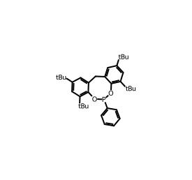 CC(C)(C)c1cc2c(c(C(C)(C)C)c1)OP(c1ccccc1)Oc1c(cc(C(C)(C)C)cc1C(C)(C)C)C2